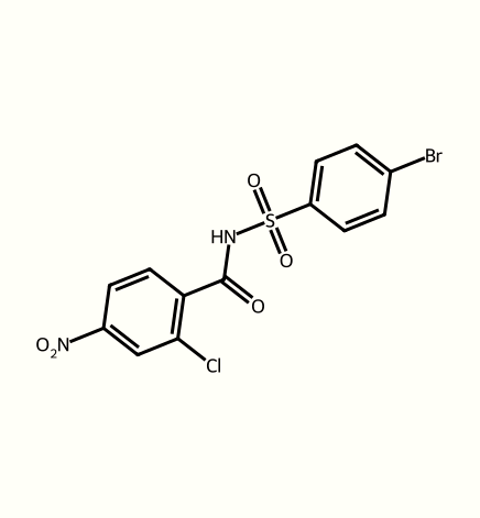 O=C(NS(=O)(=O)c1ccc(Br)cc1)c1ccc([N+](=O)[O-])cc1Cl